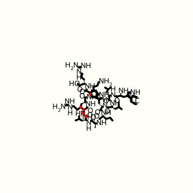 CC[C@H](C)[C@H](NC(=O)[C@H](Cc1c[nH]c2ccccc12)NC(=O)[C@H](CC(C)C)NC(=O)[C@H](CC(C)C)NC(=O)[C@@H](N)Cc1c[nH]c2ccccc12)C(=O)N[C@@H](C)C(=O)N[C@@H](CC(C)C)C(=O)N[C@@H](CCCNC(=N)N)C(=O)N[C@@H](CCCCN)C(=O)N[C@@H](CCCCN)C(=O)N[C@@H](CCCNC(=N)N)C(=O)O